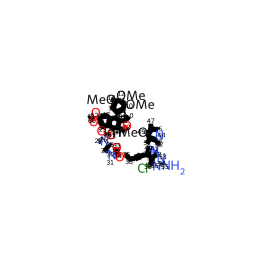 C=C1OC[C@@H]2[C@H]1[C@H](c1cc(OC)c(OC)c(OC)c1)c1cc3c(cc1[C@@H]2OC(=O)N(C)CCN(C)C(=O)OCCC#Cc1cn(Cc2ncc(C)c(OC)c2C)c2nc(N)nc(Cl)c12)OCO3